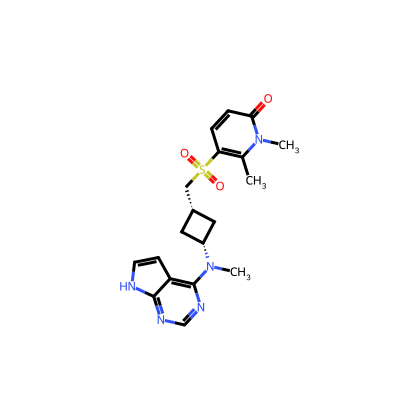 Cc1c(S(=O)(=O)C[C@H]2C[C@@H](N(C)c3ncnc4[nH]ccc34)C2)ccc(=O)n1C